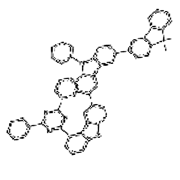 CC1(C)c2ccccc2-c2cc(-c3ccc4c(c3)c3cc(-c5ccc6sc7cccc(-c8nc(-c9ccccc9)nc(-c9ccccc9)n8)c7c6c5)ccc3n4-c3ccccc3)ccc21